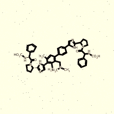 Cc1cc(-c2ccc(-c3cnc(C4CCCN4C(=O)C(NC(=O)O)c4ccccc4)[nH]3)cc2)c(CN(C)C)c(C)c1-c1cnc([C@@H]2CCCN2C(=O)[C@H](NC(=O)O)c2ccccc2)[nH]1